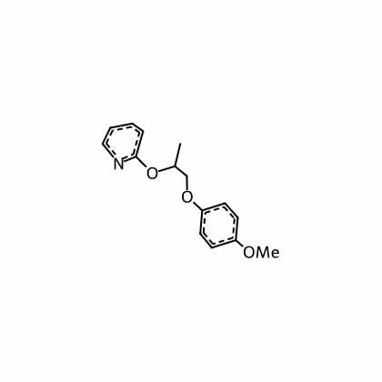 COc1ccc(OCC(C)Oc2ccccn2)cc1